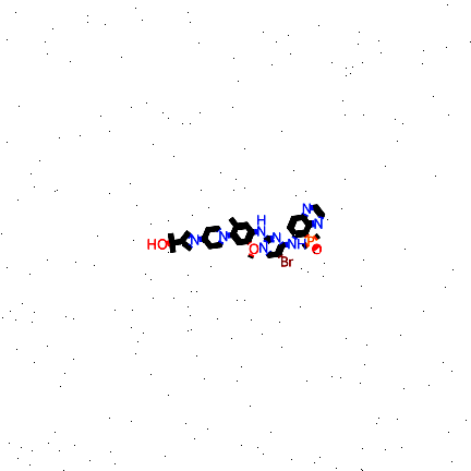 COc1cc(N2CCC(N3CC(C(C)(C)O)C3)CC2)c(C)cc1Nc1ncc(Br)c(Nc2ccc3nccnc3c2P(C)(C)=O)n1